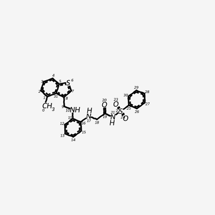 Cc1cccc2scc(CNc3ccccc3NCC(=O)NS(=O)(=O)c3ccccc3)c12